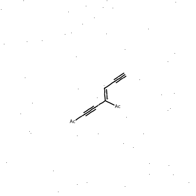 C#CC=C(C#CC(C)=O)C(C)=O